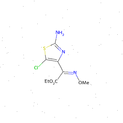 CCOC(=O)C(=NOC)c1nc(N)sc1Cl